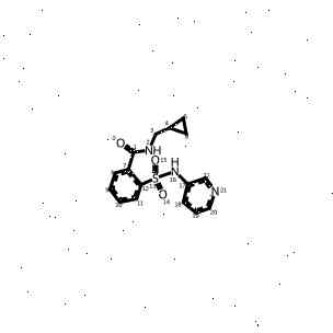 O=C(NCC1CC1)c1ccccc1S(=O)(=O)Nc1cccnc1